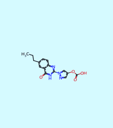 CCCc1ccc2nc(-n3cc(OC(=O)O)cn3)[nH]c(=O)c2c1